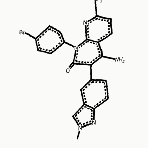 Cn1cc2cc(-c3c(N)c4ccc(C(F)(F)F)nc4n(-c4ccc(Br)cc4)c3=O)ccc2n1